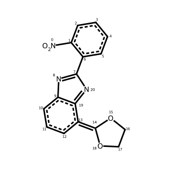 O=[N+]([O-])c1ccccc1C1=Nc2cccc(=C3OCCO3)c2=N1